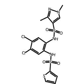 Cc1nn(C)cc1S(=O)(=O)Nc1cc(Cl)c(Cl)cc1NS(=O)(=O)c1cccs1